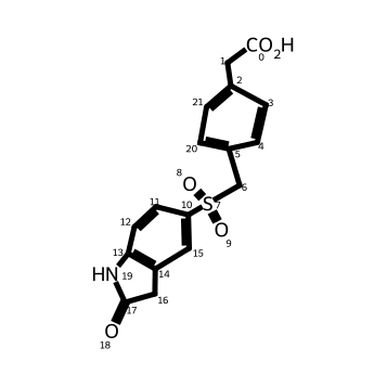 O=C(O)Cc1ccc(CS(=O)(=O)c2ccc3c(c2)CC(=O)N3)cc1